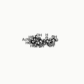 CC(=O)NC1C([C@H](O)[C@H](O)CO)O[C@@](O[C@H](CO)[C@@H](O)C2O[C@@](OC3C(O)C(CO)OC(OC4C(CO)OC5OC5C4O)C3O)(C(=O)O)C[C@@H](O)C2NC(C)=O)(C(=O)O)C[C@H]1O